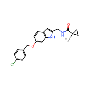 CC1(C(=O)NCc2cc3ccc(OCc4ccc(Cl)cc4)cc3[nH]2)CC1